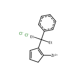 CCC(CC)(C1=[C]([Zr+2])CC=C1)c1ccccc1.[Cl-].[Cl-]